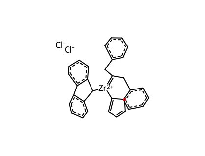 C1=CC[C]([Zr+2](=[C](Cc2ccccc2)Cc2ccccc2)[CH]2c3ccccc3-c3ccccc32)=C1.[Cl-].[Cl-]